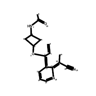 C=C/C(OC1CC(NC(C)=O)C1)=c1/cccn/c1=C(/C)C#N